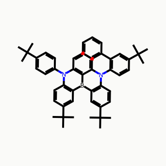 CC(C)(C)c1ccc(N2c3ccc(C(C)(C)C)cc3B3c4cc(C(C)(C)C)ccc4N(c4ccc(C(C)(C)C)cc4-c4ccccc4)c4cccc2c43)cc1